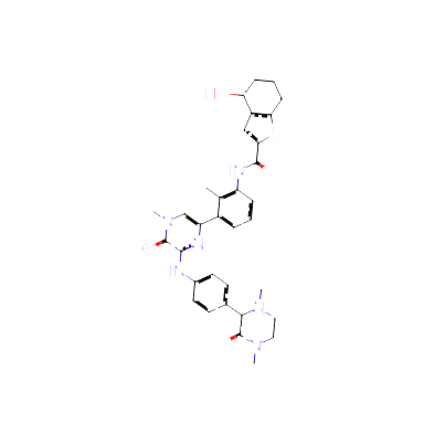 Cc1c(NC(=O)c2cc3c(s2)CCCC3O)cccc1-c1cn(C)c(=O)c(Nc2ccc(C3C(=O)N(C)CCN3C)cc2)n1